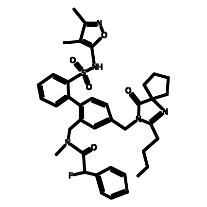 CCCCC1=NC2(CCCC2)C(=O)N1Cc1ccc(-c2ccccc2S(=O)(=O)Nc2onc(C)c2C)c(CN(C)C(=O)C(F)c2ccccc2)c1